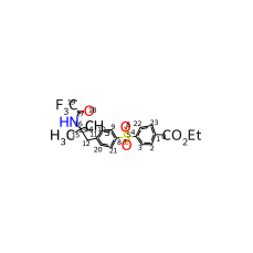 CCOC(=O)c1ccc(S(=O)(=O)c2ccc(CC(C)(C)NC(=O)C(F)(F)F)cc2)cc1